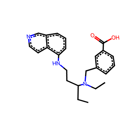 CCC(CCNc1cccc2cnccc12)N(CC)Cc1cccc(C(=O)O)c1